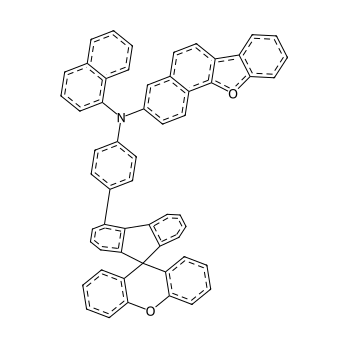 c1ccc2c(c1)Oc1ccccc1C21c2ccccc2-c2c(-c3ccc(N(c4ccc5c(ccc6c7ccccc7oc56)c4)c4cccc5ccccc45)cc3)cccc21